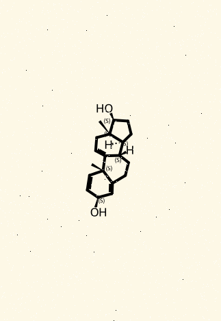 C[C@]12C=C[C@H](O)C=C1CC[C@@H]1C2=CC[C@]2(C)[C@@H](O)CC[C@@H]12